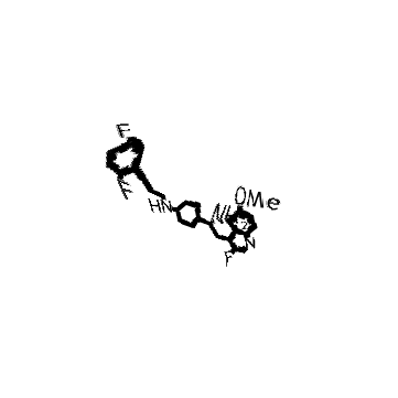 COc1ccc2ncc(F)c(C[C@H](N)C3CCC(NC/C=C/c4cc(F)ccc4F)CC3)c2c1